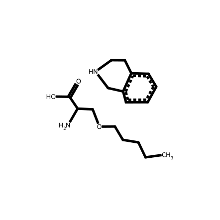 CCCCCOCC(N)C(=O)O.c1ccc2c(c1)CCNC2